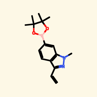 C=Cc1nn(C)c2cc(B3OC(C)(C)C(C)(C)O3)ccc12